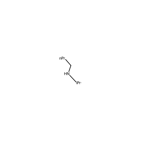 CCCCN[C](C)C